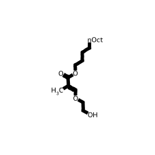 CCCCCCCCCCCCOC(=O)C(C)=COCCO